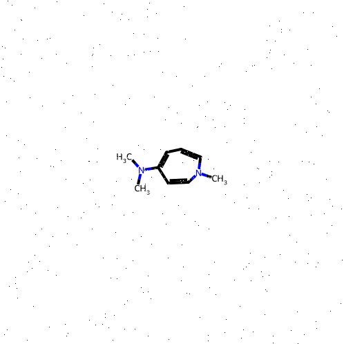 CN1C=CC=C(N(C)C)C=C1